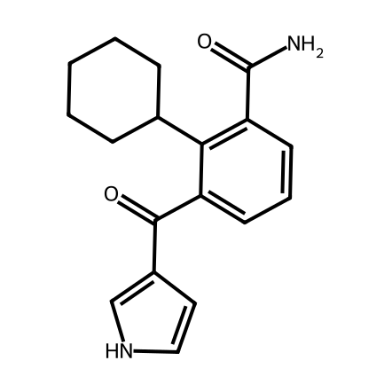 NC(=O)c1cccc(C(=O)c2cc[nH]c2)c1C1CCCCC1